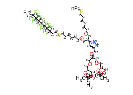 CCCSCCCCCCOCC(COCCCCCCSCCC(F)(F)C(F)(F)C(F)(F)C(F)(F)C(F)(F)C(F)(F)C(F)(F)C(F)(F)F)n1cc(COC(COCC2COC(C)(C)O2)COCC2COC(C)(C)O2)nn1